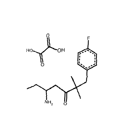 CCC(N)CC(=O)C(C)(C)Cc1ccc(F)cc1.O=C(O)C(=O)O